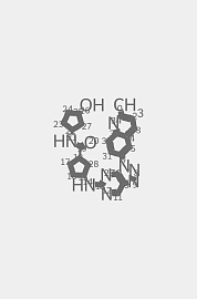 Cc1ccc2cc(-n3nnc4cnc(N[C@@H]5CC[C@@H](C(=O)N[C@H]6CC[C@H](O)C6)C5)nc43)ccc2n1